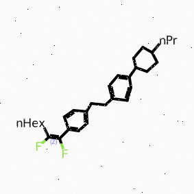 CCCCCC/C(F)=C(/F)c1ccc(CCc2ccc(C3CCC(CCC)CC3)cc2)cc1